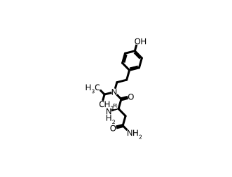 CC(C)N(CCc1ccc(O)cc1)C(=O)[C@H](N)CC(N)=O